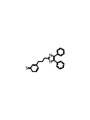 S=C1C=C(CCCC2=NC(c3ccccc3)=C(c3ccccc3)[N]2)C=CC1